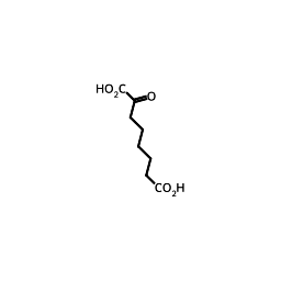 O=C(O)CCCCCC(=O)C(=O)O